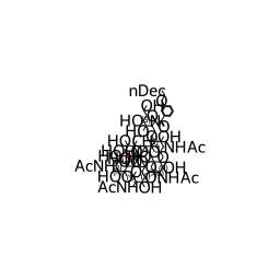 CCCCCCCCCCCOc1cccc(C(=O)N2OC(CO)[C@@H](O)C(O)C2CO[C@@H]2C(CO)OC(OC3C(CO)O[C@@H](O[C@@H]4C(CO)O[C@@H](OC5C(CO[C@@H]6OC(C)C(O)C(O)C6O)O[C@@H](O)[C@@H](NC(C)=O)[C@H]5O)C(NC(C)=O)C4O)[C@@H](NC(C)=O)[C@H]3O)C(NC(C)=O)C2O)c1